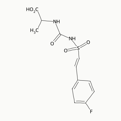 CC(NC(=O)NS(=O)(=O)/C=C/c1ccc(F)cc1)C(=O)O